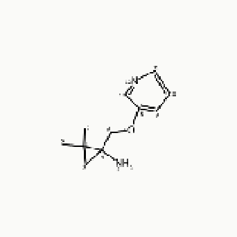 CC1(C)CC1(N)COc1cccnc1